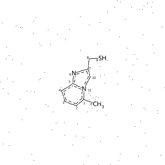 Cc1cccc2nc(CS)cn12